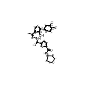 CC(=NNC(=O)c1ccc(C(=O)NN2CCOCC2)s1)c1csc(-c2ccc(Cl)c(Cl)c2)c1O